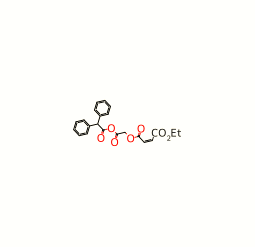 CCOC(=O)/C=C\C(=O)OCC(=O)OC(=O)C(c1ccccc1)c1ccccc1